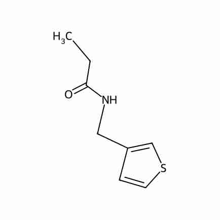 CCC(=O)NCc1ccsc1